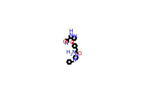 N[C@@H](Cc1ccc(Oc2ccnc3[nH]cc(-c4cnoc4)c23)cc1)C(=O)N1CCN(Cc2ccccc2)CC1